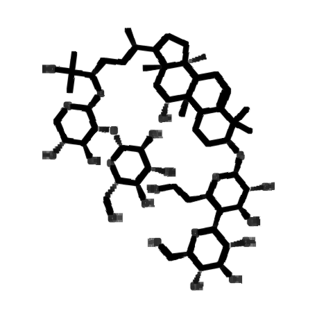 C[C@H](CC[C@@H](O[C@@H]1OC[C@@H](O)[C@H](O)[C@H]1O[C@H]1O[C@@H](CO)[C@H](O)[C@@H](O)[C@@H]1O)C(C)(C)O)C1CC[C@@]2(C)C3CC=C4C(CC[C@H](O[C@@H]5O[C@H](CCO)C([C@@H]6O[C@H](CO)[C@@H](O)[C@H](O)[C@H]6O)[C@H](O)[C@H]5O)C4(C)C)[C@]3(C)[C@H](O)C[C@]12C